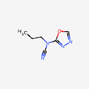 CCCN(C#N)c1nnco1